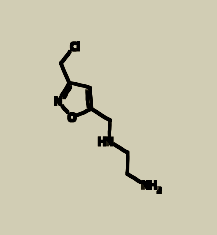 NCCNCc1cc(CCl)no1